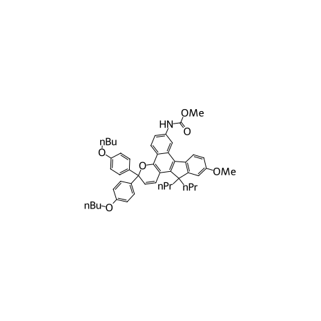 CCCCOc1ccc(C2(c3ccc(OCCCC)cc3)C=Cc3c4c(c5cc(NC(=O)OC)ccc5c3O2)-c2ccc(OC)cc2C4(CCC)CCC)cc1